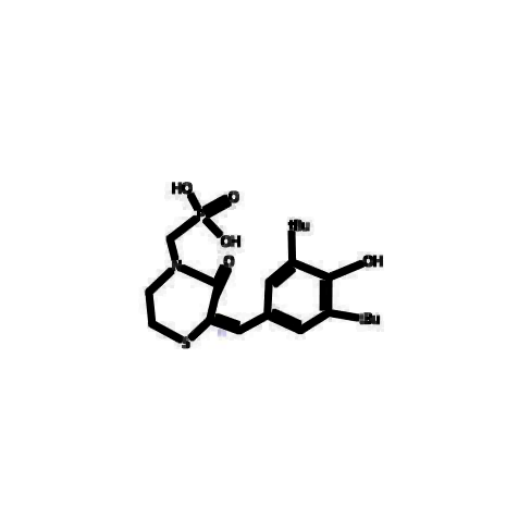 CC(C)(C)c1cc(/C=C2/SCCN(CP(=O)(O)O)C2=O)cc(C(C)(C)C)c1O